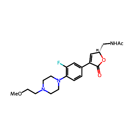 COCCN1CCN(c2ccc(C3=C[C@H](CNC(C)=O)OC3=O)cc2F)CC1